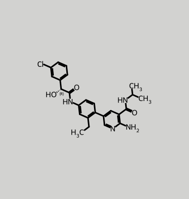 CCc1cc(NC(=O)[C@H](O)c2cccc(Cl)c2)ccc1-c1cnc(N)c(C(=O)NC(C)C)c1